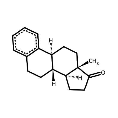 C[C@]12CC[C@@H]3c4ccccc4CC[C@H]3[C@@H]1[CH]CC2=O